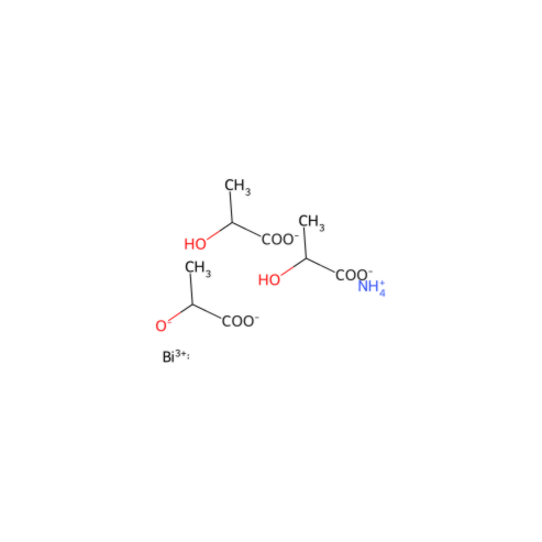 CC(O)C(=O)[O-].CC(O)C(=O)[O-].CC([O-])C(=O)[O-].[Bi+3].[NH4+]